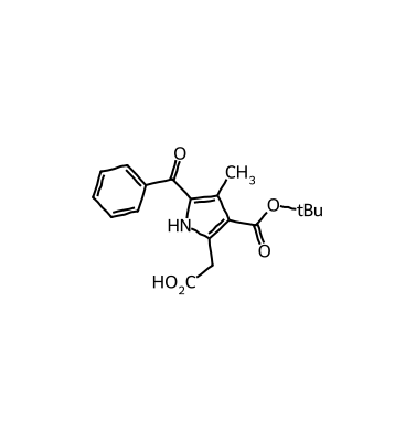 Cc1c(C(=O)c2ccccc2)[nH]c(CC(=O)O)c1C(=O)OC(C)(C)C